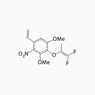 C=Cc1cc(OC)c(OC(C)=C(F)F)c(OC)c1[N+](=O)[O-]